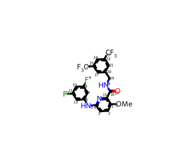 COc1ccc(Nc2cc(F)cc(F)c2)nc1C(=O)NCc1cc(C(F)(F)F)cc(C(F)(F)F)c1